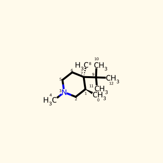 C[C@H]1CN(C)CC[C@@]1(C)C(C)(C)C